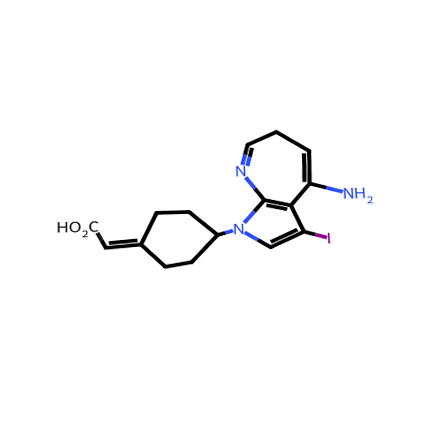 NC1=CCC=Nc2c1c(I)cn2C1CCC(=CC(=O)O)CC1